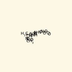 C[C@@H]1Cc2nn(C)c(-c3ccccc3)c2-c2nc(Nc3ccn(CCN4CCN(CC(=O)OC5CCOCC5)CC4)n3)ncc21